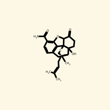 CC(C)=CC[N+]1(C)CCC23c4c5ccc(C(N)=O)c4OC2C(=O)CCC3(O)C1C5